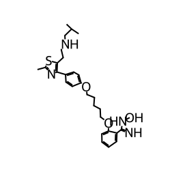 Cc1nc(-c2ccc(OCCCCCOc3ccccc3C(=N)NO)cc2)c(CCNCC(C)C)s1